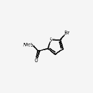 CSC(=O)c1ccc(Br)s1